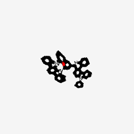 c1ccc(-n2c3ccccc3c3c4c(ccc32)c(-c2cccc(-n3c5ccccc5c5ccc6c7ccccc7n(-c7ccccc7)c6c53)c2)nc2ccccc24)cc1